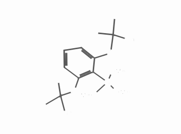 CCCC(C)(C)Oc1cccc(OC(C)(C)CCC)c1[Si](OC)(OC)OC